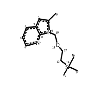 Cc1cc2cccnc2n1COCC[Si](C)(C)C